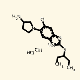 CCC(CC)Sc1nc2cc(Cl)c(N3CCC(N)C3)cc2[nH]1.Cl.Cl